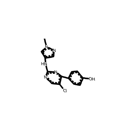 Cn1cc(Nc2ncc(Cl)c(-c3ccc(O)cc3)n2)cn1